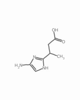 CC(CC(=O)O)c1nc(N)c[nH]1